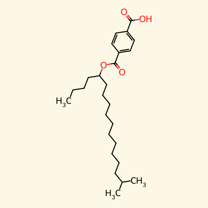 CCCCC(CCCCCCCCCCC(C)C)OC(=O)c1ccc(C(=O)O)cc1